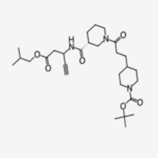 C#CC(CC(=O)OCC(C)C)NC(=O)[C@@H]1CCCN(C(=O)CCC2CCN(C(=O)OC(C)(C)C)CC2)C1